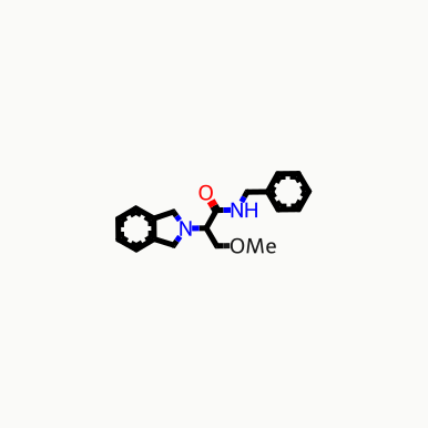 COCC(C(=O)NCc1ccccc1)N1Cc2ccccc2C1